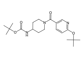 CC(C)(C)OC(=O)NC1CCN(C(=O)c2ccc(OC(C)(C)C)nc2)CC1